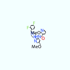 COCc1cnc(N2CCN(Cc3ccc(F)cc3F)CC2)c(NC(=O)c2cccnc2OC)c1